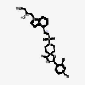 O=C1NC(c2ccc(Cl)cc2Cl)=NC12CCN(S(=O)(=O)/C=C/c1cccc3c1ccn3C[C@H](O)CO)CC2